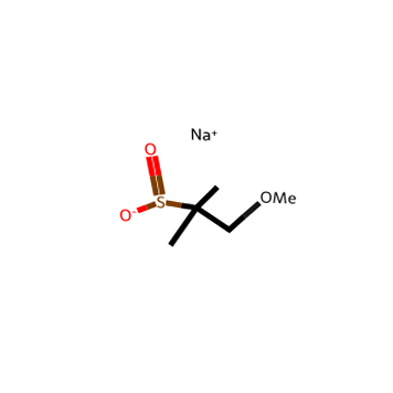 COCC(C)(C)S(=O)[O-].[Na+]